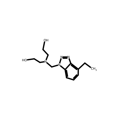 CCc1cccc2c1nnn2CN(CCO)CCO